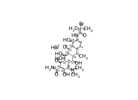 Br.CC1c2ccc(NC(=O)C(C)(C)Br)c(O)c2C(=O)C2=C(O)[C@]3(O)C(=O)C(C(N)=O)=C(O)[C@@H](N(C)C)C3C(O)C21